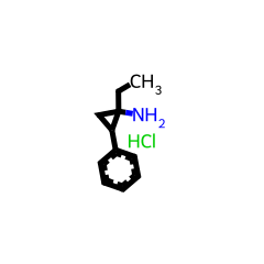 CCC1(N)CC1c1ccccc1.Cl